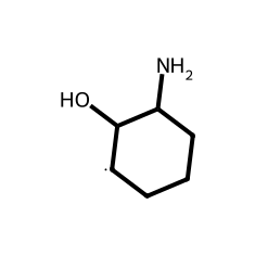 NC1CCC[CH]C1O